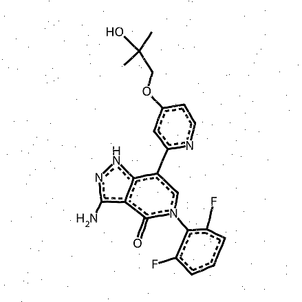 CC(C)(O)COc1ccnc(-c2cn(-c3c(F)cccc3F)c(=O)c3c(N)n[nH]c23)c1